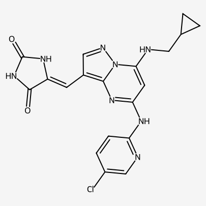 O=C1NC(=O)/C(=C/c2cnn3c(NCC4CC4)cc(Nc4ccc(Cl)cn4)nc23)N1